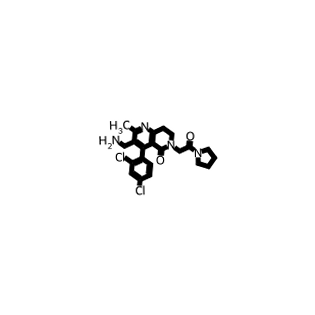 Cc1nc2c(c(-c3ccc(Cl)cc3Cl)c1CN)C(=O)N(CC(=O)N1CCCC1)CC2